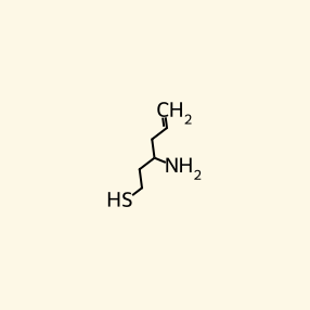 C=CCC(N)CCS